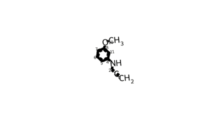 C=C=CNc1cccc(OC)c1